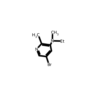 CCN(C)c1cc(Br)cnc1C